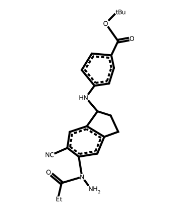 CCC(=O)N(N)c1cc2c(cc1C#N)C(Nc1ccc(C(=O)OC(C)(C)C)cc1)CC2